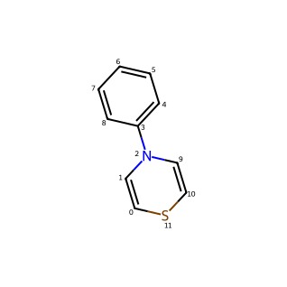 C1=CN(c2ccccc2)C=CS1